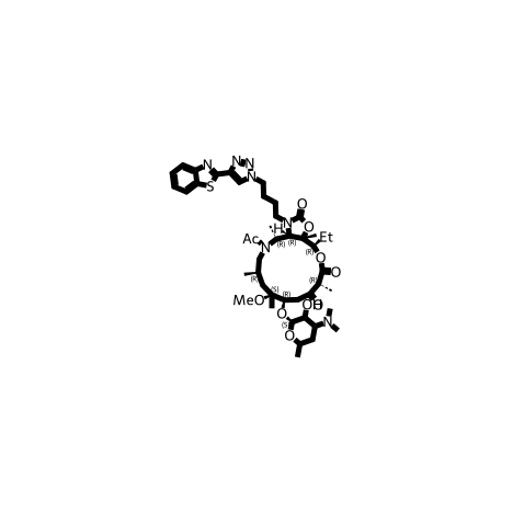 CC[C@H]1OC(=O)[C@H](C)C(=O)C[C@@H](O[C@@H]2OC(C)CC(N(C)C)C2O)[C@@](C)(OC)C[C@@H](C)CN(C(C)=O)[C@H](C)[C@H]2N(CCCCn3cc(-c4nc5ccccc5s4)nn3)C(=O)O[C@]12C